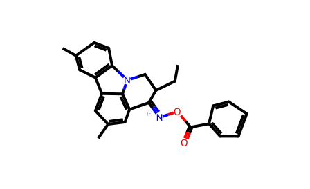 CCC1Cn2c3ccc(C)cc3c3cc(C)cc(c32)/C1=N/OC(=O)c1ccccc1